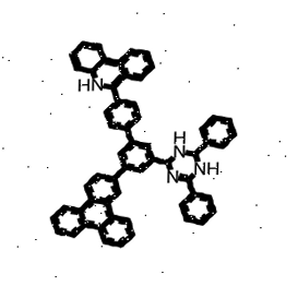 C1=CC2=c3ccccc3=C(c3ccc(-c4cc(-c5ccc6c7ccccc7c7ccccc7c6c5)cc(C5N=C(c6ccccc6)NC(c6ccccc6)N5)c4)cc3)NC2C=C1